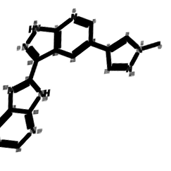 Cn1cc(-c2cnc3[nH]nc(-c4nc5cccnc5[nH]4)c3c2)cn1